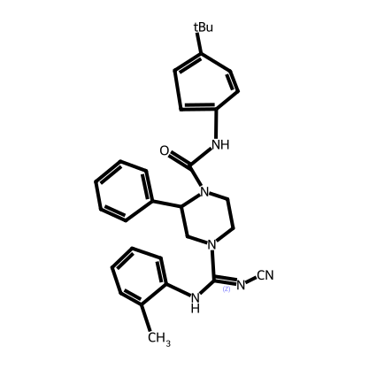 Cc1ccccc1N/C(=N/C#N)N1CCN(C(=O)Nc2ccc(C(C)(C)C)cc2)C(c2ccccc2)C1